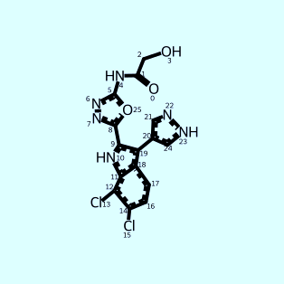 O=C(CO)Nc1nnc(-c2[nH]c3c(Cl)c(Cl)ccc3c2-c2cn[nH]c2)o1